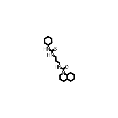 O=C(NCCCNC(=S)NC1CCCCC1)N1CCCC2CCCCC21